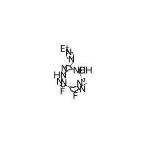 CCN1CCN(Cc2cnc3cc2NC(O)CC2(CC2)n2c(C)nc4c(F)cc(cc42)-c2nc(ncc2F)N3)CC1